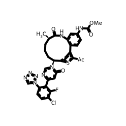 COC(=O)Nc1ccc2c(c1)NC(=O)[C@H](C)CCC[C@H](n1cnc(-c3c(-n4cnnn4)ccc(Cl)c3F)cc1=O)c1cc-2c(C(C)=O)s1